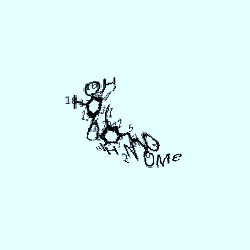 COC(=O)[C@@H](N)Cc1cc(I)c(Oc2ccc(O)c(I)c2)c(I)c1